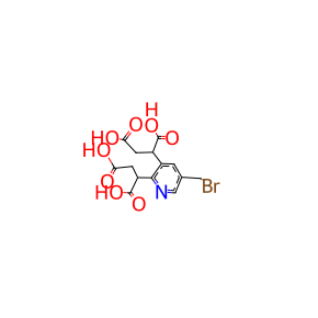 O=C(O)CC(C(=O)O)c1cc(CBr)cnc1C(CC(=O)O)C(=O)O